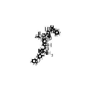 Cc1cc(Oc2ccccc2F)ccc1-n1ncc(C(=O)c2cc3cc(OCC(F)F)c(N4C(=O)C5CC(NS(=O)(=O)Cc6ccccc6)CN5C4=O)cc3[nH]2)c1N